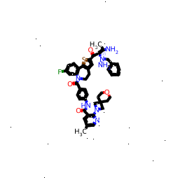 C/C(N)=C(\C(=O)c1cc2c(s1)-c1ccc(F)cc1N(C(=O)c1ccc(NC(=O)c3cc(C)cnc3N3CC4(CCOCC4)C3)cc1)CC2)N(N)Cc1ccccc1